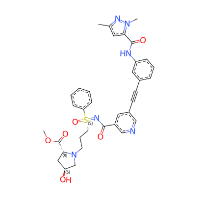 COC(=O)[C@H]1C[C@H](O)CN1CCC[S@@](=O)(=NC(=O)c1cncc(C#Cc2cccc(NC(=O)c3cc(C)nn3C)c2)c1)c1ccccc1